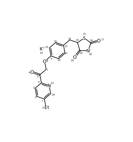 CCc1ccc(C(=O)COc2ccc(CC3SC(=O)[N-]C3=O)cc2)nc1.[K+]